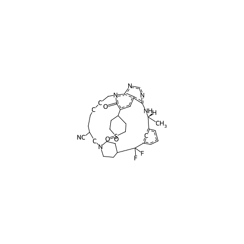 C[C@H]1Nc2ncnc3c2cc(C2CCS(=O)(=O)CC2)c(=O)n3CCCCCC(C#N)CN2CCC(CC2)C(F)(F)c2cccc1c2